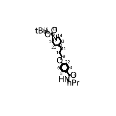 CCCNC(=O)c1ccc(OCCCC2CCN(C(=O)OC(C)(C)C)CC2)cc1